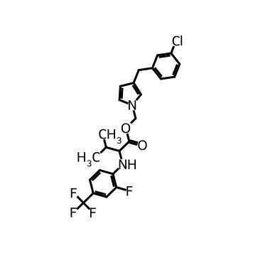 CC(C)C(Nc1ccc(C(F)(F)F)cc1F)C(=O)OCn1ccc(Cc2cccc(Cl)c2)c1